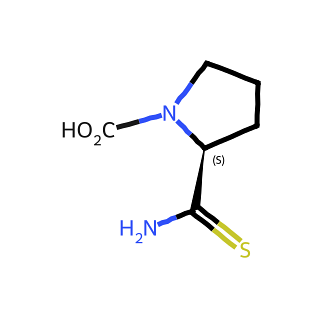 NC(=S)[C@@H]1CCCN1C(=O)O